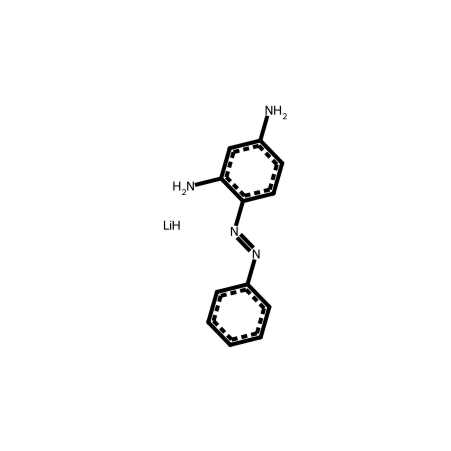 Nc1ccc(N=Nc2ccccc2)c(N)c1.[LiH]